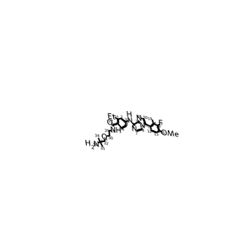 CCc1cc(Nc2nccn3c(-c4ccc(OC)c(F)c4C)cnc23)ccc1C(=O)NCCOCC(C)(C)N